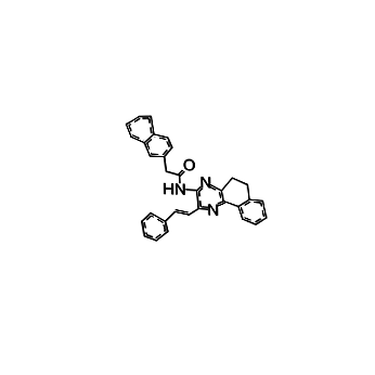 O=C(Cc1ccc2ccccc2c1)Nc1nc2c(nc1/C=C/c1ccccc1)-c1ccccc1CC2